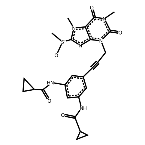 Cn1c(=O)c2c(nc([S+](C)[O-])n2C)n(CC#Cc2cc(NC(=O)C3CC3)cc(NC(=O)C3CC3)c2)c1=O